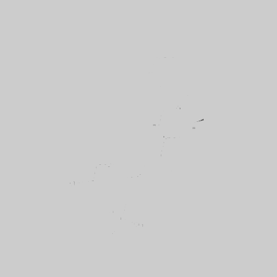 COP(=O)(O)Cc1cc(Cl)ccc1OCC(=O)N1C[C@H](C)N(Cc2ccc(F)cc2)C[C@H]1C